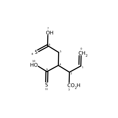 C=CC(C(=O)O)C(CC(O)=S)C(O)=S